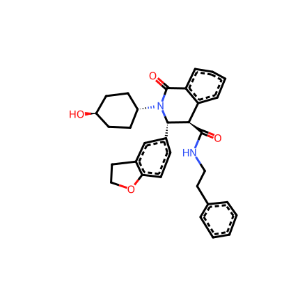 O=C(NCCc1ccccc1)[C@@H]1c2ccccc2C(=O)N([C@H]2CC[C@H](O)CC2)[C@H]1c1ccc2c(c1)CCO2